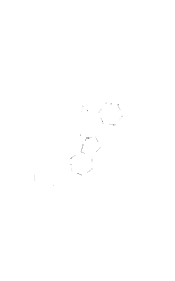 Cc1ccc2c(c1)N(C)CCn1c-2c(C2CCCCC2)c2ccc(C(=O)O)cc21